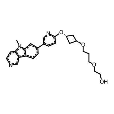 Cn1c2ccncc2c2ccc(-c3ccc(O[C@H]4C[C@H](OCCCOCCO)C4)nc3)cc21